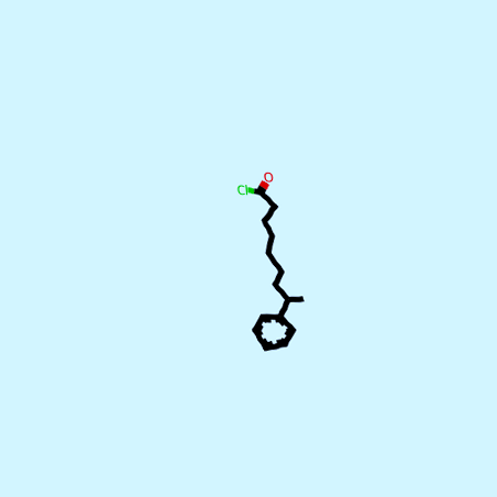 CC(CCCCCCC(=O)Cl)c1ccccc1